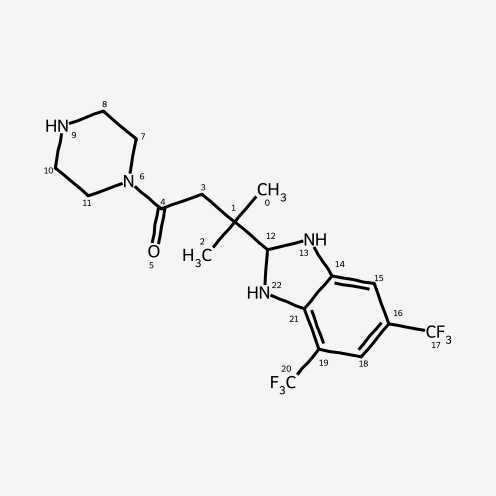 CC(C)(CC(=O)N1CCNCC1)C1Nc2cc(C(F)(F)F)cc(C(F)(F)F)c2N1